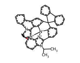 CC(C)n1c2[n+](c3ccccc31)[N+]13c4c-2cccc4C2(c4ccccc4-c4ccccc42)c2ccc4c5ccccc5n5c6ccccc6[n+]1c5c4c23